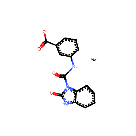 O=C([O-])c1cccc(NC(=O)n2c(=O)[nH]c3ccccc32)c1.[Na+]